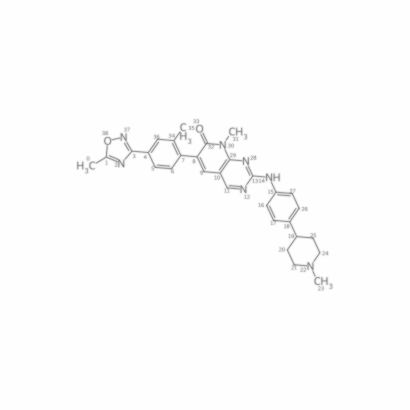 Cc1nc(-c2ccc(-c3cc4cnc(Nc5ccc(C6CCN(C)CC6)cc5)nc4n(C)c3=O)c(C)c2)no1